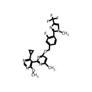 COc1ncnc(C2CC2)c1-c1nc(C)cc(OCc2ccc(-c3nc(C(F)(F)F)cn3C)c(F)c2)n1